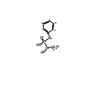 CCCN(P(=O)(O)Oc1ccccc1)S(=O)(=O)O